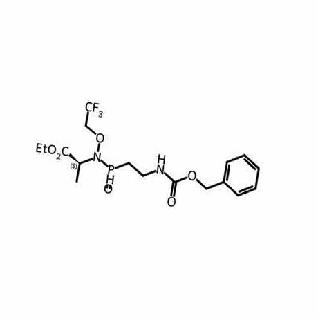 CCOC(=O)[C@H](C)N(OCC(F)(F)F)[PH](=O)CCNC(=O)OCc1ccccc1